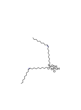 CCCCCCCC/C=C\CCCCCCCCOP(=O)(OCCCCCCCC/C=C\CCCCCCCC)OP(=O)(O)O